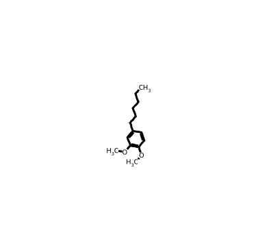 CCCCC[CH]c1ccc(OC)c(OC)c1